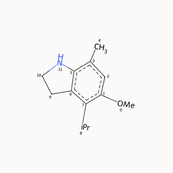 COc1cc(C)c2c(c1C(C)C)CCN2